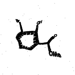 COC(=O)c1c[c]cc(Br)c1O